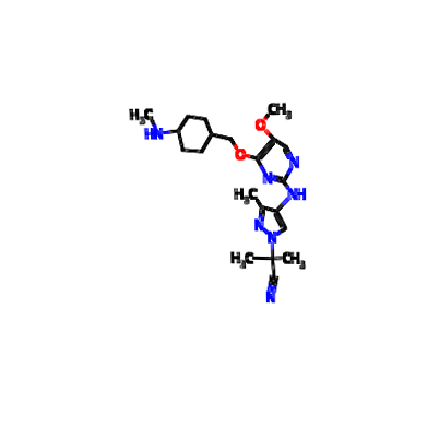 CNC1CCC(COc2nc(Nc3cn(C(C)(C)C#N)nc3C)ncc2OC)CC1